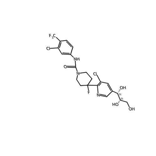 O=C(Nc1ccc(C(F)(F)F)c(Cl)c1)N1CCC(F)(c2ncc([C@H](O)[C@@H](O)CO)cc2Cl)CC1